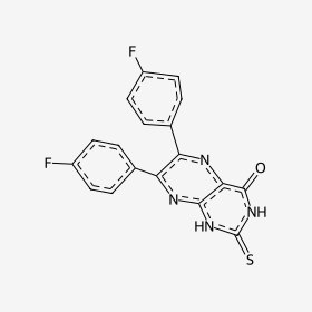 O=c1[nH]c(=S)[nH]c2nc(-c3ccc(F)cc3)c(-c3ccc(F)cc3)nc12